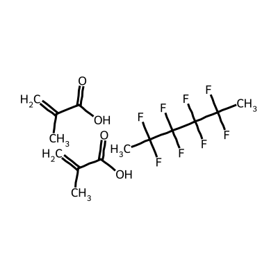 C=C(C)C(=O)O.C=C(C)C(=O)O.CC(F)(F)C(F)(F)C(F)(F)C(C)(F)F